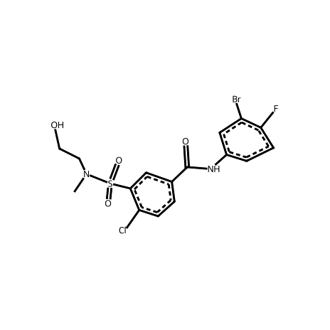 CN(CCO)S(=O)(=O)c1cc(C(=O)Nc2ccc(F)c(Br)c2)ccc1Cl